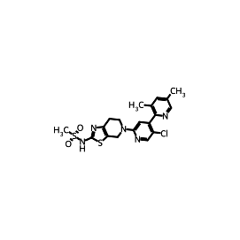 Cc1cnc(-c2cc(N3CCc4nc(NS(C)(=O)=O)sc4C3)ncc2Cl)c(C)c1